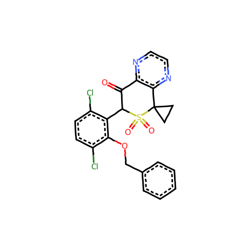 O=C1c2nccnc2C2(CC2)S(=O)(=O)C1c1c(Cl)ccc(Cl)c1OCc1ccccc1